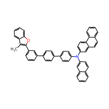 Cc1c(-c2cccc(-c3ccc(-c4ccc(N(c5ccc6ccccc6c5)c5ccc6c(ccc7ccccc76)c5)cc4)cc3)c2)oc2ccccc12